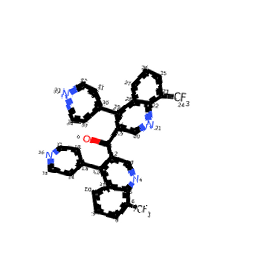 O=C(c1cnc2c(C(F)(F)F)cccc2c1-c1ccncc1)c1cnc2c(C(F)(F)F)cccc2c1-c1ccncc1